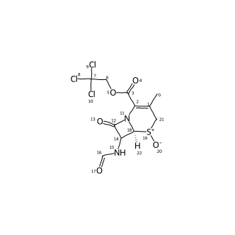 CC1=C(C(=O)OCC(Cl)(Cl)Cl)N2C(=O)C(NC=O)[C@@H]2[S+]([O-])C1